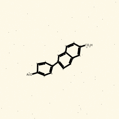 CC(=O)Oc1ccc(-c2ccc3cc(C(=O)O)ccc3c2)cc1